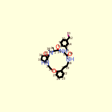 C[C@H]1C(=O)N[C@H](Cc2cccc(CI)c2)C(=O)NC/C=C/c2ccccc2OCCNC2(CCCC2)C(=O)N1C